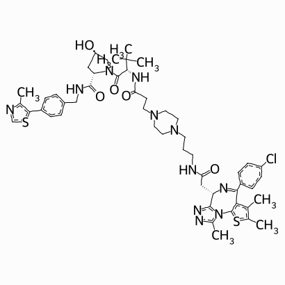 Cc1ncsc1-c1ccc(CNC(=O)[C@@H]2C[C@@H](O)CN2C(=O)[C@@H](NC(=O)CCN2CCN(CCCNC(=O)C[C@@H]3N=C(c4ccc(Cl)cc4)c4c(sc(C)c4C)-n4c(C)nnc43)CC2)C(C)(C)C)cc1